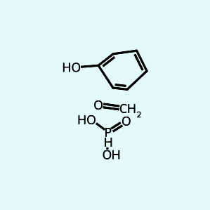 C=O.O=[PH](O)O.Oc1ccccc1